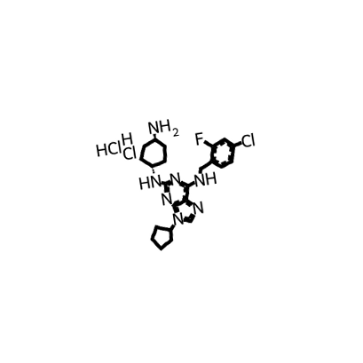 Cl.Cl.N[C@H]1CC[C@H](Nc2nc(NCc3ccc(Cl)cc3F)c3ncn(C4CCCC4)c3n2)CC1